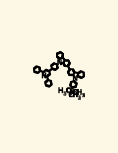 CS(C)(C)c1ccc(-n2c3ccccc3c3cc(-c4ccc5c6ccccc6n(-c6ccc(-c7cc(-c8ccccc8)nc(-c8ccccc8)c7)cc6)c5c4)ccc32)cc1